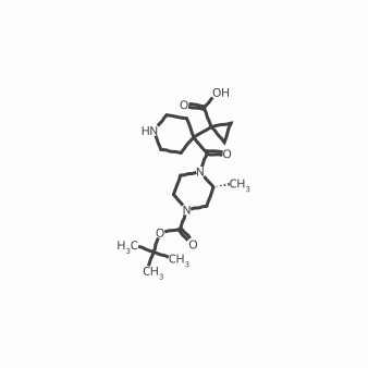 C[C@@H]1CN(C(=O)OC(C)(C)C)CCN1C(=O)C1(C2(C(=O)O)CC2)CCNCC1